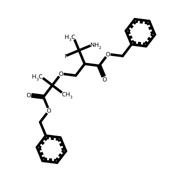 CC(C)(OCC(C(=O)OCc1ccccc1)C(C)(N)I)C(=O)OCc1ccccc1